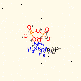 N.N.N.N.O=P([O-])([O-])OP(=O)([O-])[O-].[Pt+2].[Pt+2]